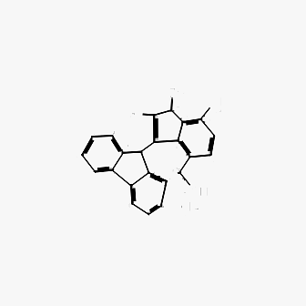 CC1=C(C2c3ccccc3-c3ccccc32)c2c(C(C)C)ccc(C)c2[CH]1[Zr+2].[Cl-].[Cl-]